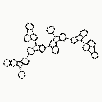 c1ccc(-n2c3ccc(-c4ccc5c(c4)c4ccc(-c6cc7c(c8ccccc68)c6cc(-c8ccc9c(c8)c8ccccc8n9-c8ccc9c%10c(cccc8%10)-c8ccccc8-9)ccc6n7-c6ccccc6)cc4n5-c4ccc5c6c(cccc46)-c4ccccc4-5)cc3c3cc4ccccc4cc32)cc1